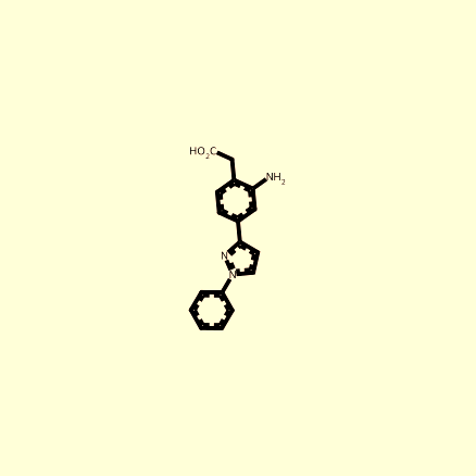 Nc1cc(-c2ccn(-c3ccccc3)n2)ccc1CC(=O)O